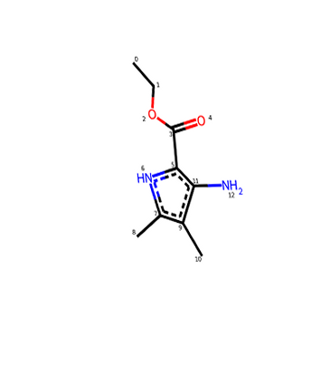 CCOC(=O)c1[nH]c(C)c(C)c1N